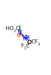 O=C(C=Cn1cnc(-c2cc(C(F)(F)F)cc(C(F)(F)F)c2)n1)N1CC(F)(C(=O)O)C1